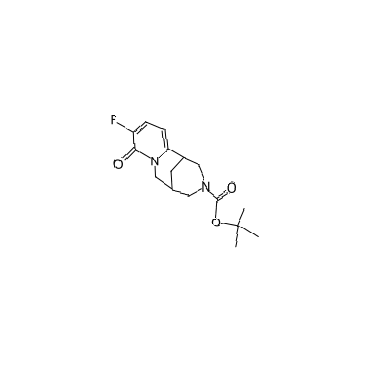 CC(C)(C)OC(=O)N1CC2CC(C1)c1ccc(F)c(=O)n1C2